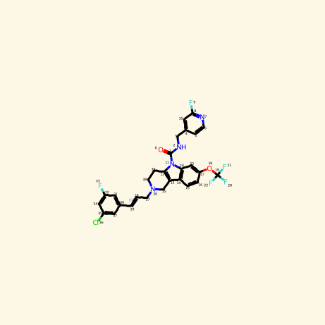 O=C(NCc1ccnc(F)c1)n1c2c(c3ccc(OC(F)(F)F)cc31)CN(C/C=C/c1cc(F)cc(Cl)c1)CC2